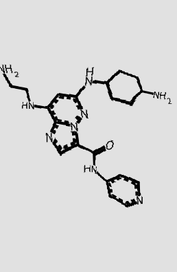 NCCNc1cc(NC2CCC(N)CC2)nn2c(C(=O)Nc3ccncc3)cnc12